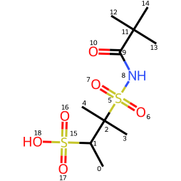 CC(C(C)(C)S(=O)(=O)NC(=O)C(C)(C)C)S(=O)(=O)O